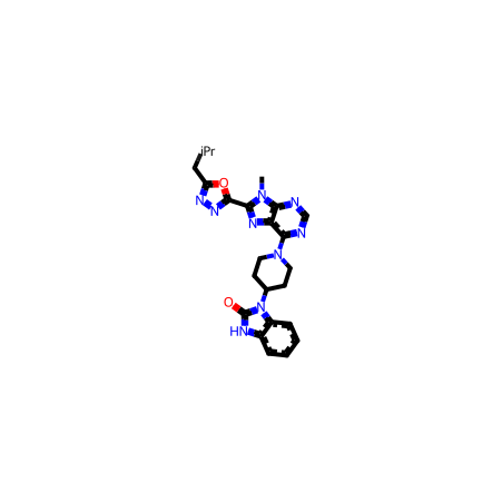 CC(C)Cc1nnc(-c2nc3c(N4CCC(n5c(=O)[nH]c6ccccc65)CC4)ncnc3n2C)o1